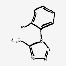 [CH2]c1nnnn1-c1ccccc1F